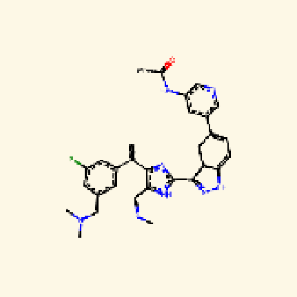 C=C(c1cc(F)cc(CN(C)C)c1)c1nc(C2=NNC3=CC=C(c4cncc(NC(=O)C(C)C)c4)CC32)[nH]c1/C=N\C